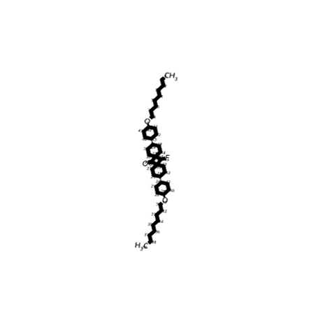 CCCCCCCCCO[C@H]1CC[C@H](C2CCC3(CC2)C(=O)C2(CCC([C@H]4CC[C@H](OCCCCCCCCC)CC4)CC2)C3F)CC1